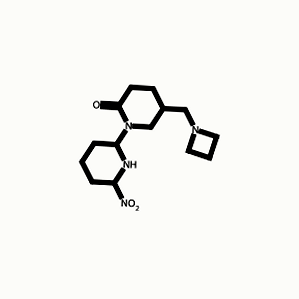 O=C1CCC(CN2CCC2)CN1C1CCCC([N+](=O)[O-])N1